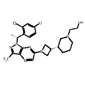 C[C@H](c1ccc(Cl)cc1Cl)n1nc(C(F)(F)F)c2ncc(N3CC([C@H]4CCCN(CCO)C4)C3)nc21